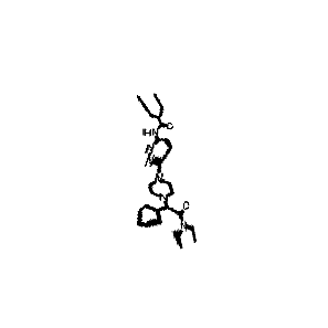 CCC(CC)C(=O)Nc1ccc(N2CCN(C(C(=O)N(CC)CC)c3ccccc3)CC2)nn1